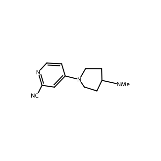 CNC1CCN(c2ccnc(C#N)c2)CC1